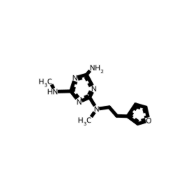 CNc1nc(N)nc(N(C)CCc2ccoc2)n1